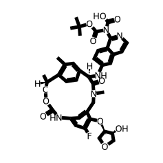 Cc1cc2ccc1[C@@H](C)COC(=O)Nc1cc(F)c(O[C@@H]3COC[C@@H]3O)c(c1)CN(C)C(=O)[C@@H]2Nc1ccc2c(N(C(=O)O)C(=O)OC(C)(C)C)nccc2c1